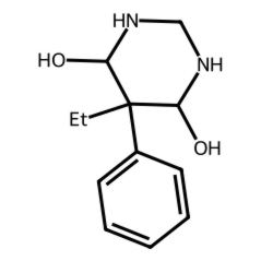 CCC1(c2ccccc2)C(O)NCNC1O